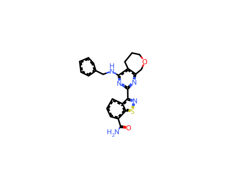 NC(=O)c1cccc2c(-c3nc4c(c(NCc5ccccc5)n3)CCCOC4)nsc12